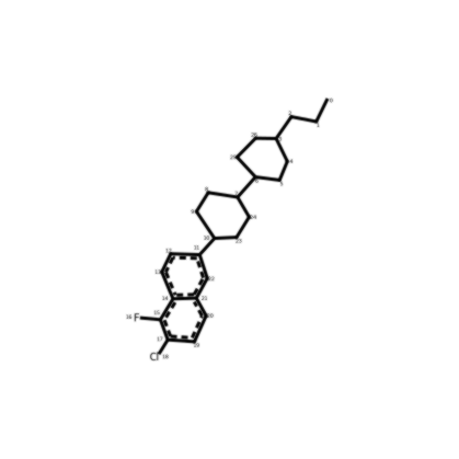 CCCC1CCC(C2CCC(c3ccc4c(F)c(Cl)ccc4c3)CC2)CC1